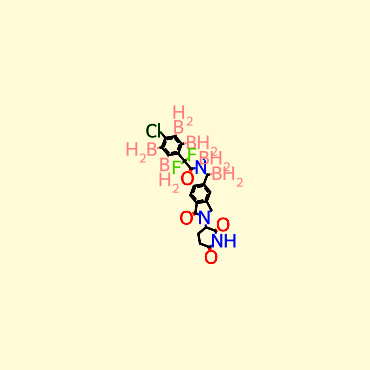 Bc1c(B)c(C(F)(F)C(=O)N(B)C(B)c2ccc3c(c2)CN(C2CCC(=O)NC2=O)C3=O)c(B)c(B)c1Cl